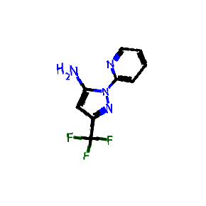 Nc1cc(C(F)(F)F)nn1-c1ccccn1